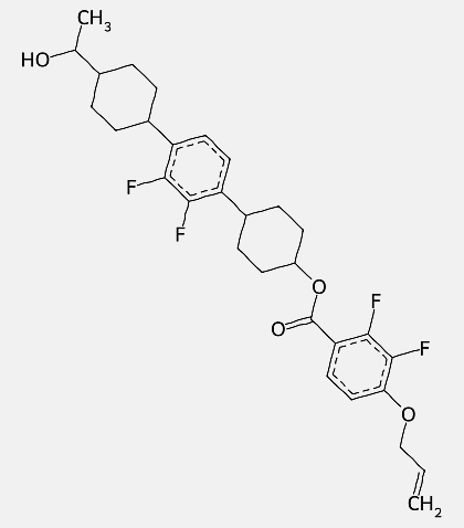 C=CCOc1ccc(C(=O)OC2CCC(c3ccc(C4CCC(C(C)O)CC4)c(F)c3F)CC2)c(F)c1F